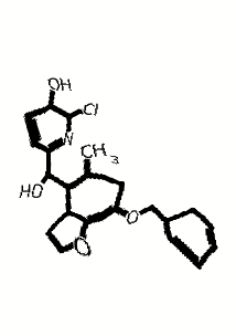 CC1CC(OCC2C=CC=CC2)=C2OCCC2C1C(O)C1=NC(Cl)C(O)C=C1